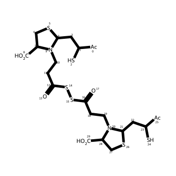 CC(=O)C(S)CC1SCC(C(=O)O)N1CCC(=O)SSC(=O)CCN1C(CC(S)C(C)=O)SCC1C(=O)O